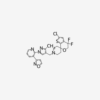 Cc1nn(-c2ncccc2-c2ccon2)cc1CN1CCC2(CC1)OCC(F)(F)c1cc(Cl)sc12